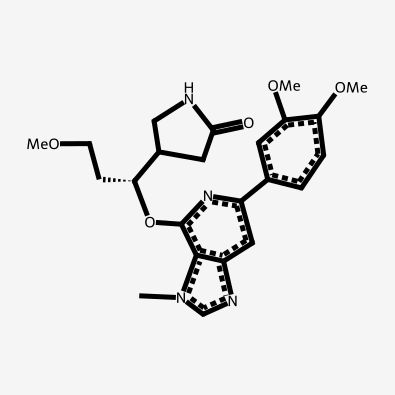 COCC[C@@H](Oc1nc(-c2ccc(OC)c(OC)c2)cc2ncn(C)c12)C1CNC(=O)C1